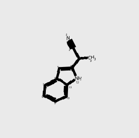 CC(C#N)c1cc2ccccc2[nH]1